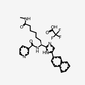 CNC(=O)CCCCC[C@H](NC(=O)c1cccnc1)c1ncc(-c2ccc3ccccc3c2)[nH]1.O=C(O)C(F)(F)F